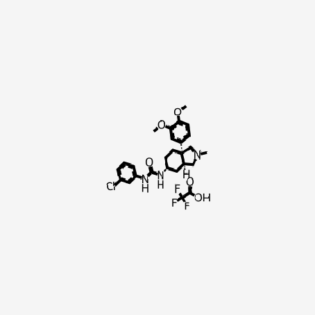 COc1ccc([C@@]23CC[C@@H](NC(=O)Nc4cccc(Cl)c4)C[C@@H]2CN(C)C3)cc1OC.O=C(O)C(F)(F)F